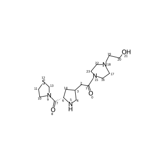 O=C(CC1CN[C@H](C(=O)N2CCSC2)C1)N1CCN(CCO)CC1